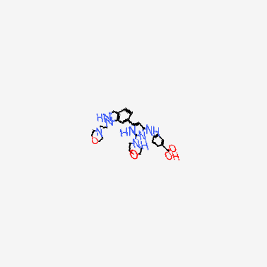 O=C(O)c1ccc(NC2C=C(c3ccc4c(c3)N(CCN3CCOCC3)NC4)NC(N3CCOCC3)N2)cc1